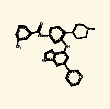 CN1CCN(c2ccc(NC(=O)c3cccc(C(F)(F)F)c3)cc2Nc2cc(-c3cccnc3)nc3[nH]ccc23)CC1